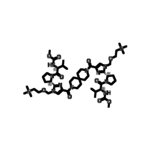 COC(=O)N[C@H](C(=O)N1CCC[C@H]1c1nc(C(=O)N2CCC3(CC2)CCN(C(=O)c2cn(COCC[Si](C)(C)C)c([C@@H]4CCCN4C(=O)[C@@H](NC(=O)OC)C(C)C)n2)CC3)cn1COCC[Si](C)(C)C)C(C)C